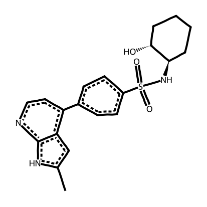 Cc1cc2c(-c3ccc(S(=O)(=O)N[C@@H]4CCCC[C@H]4O)cc3)ccnc2[nH]1